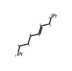 CC(C)CC=CCCCC(C)C